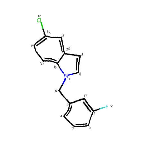 Fc1cccc(Cn2[c]cc3cc(Cl)ccc32)c1